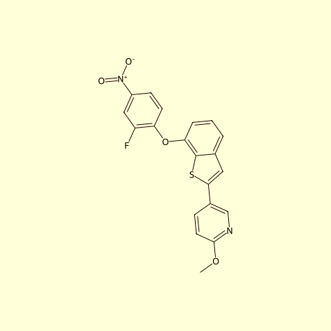 COc1ccc(-c2cc3cccc(Oc4ccc([N+](=O)[O-])cc4F)c3s2)cn1